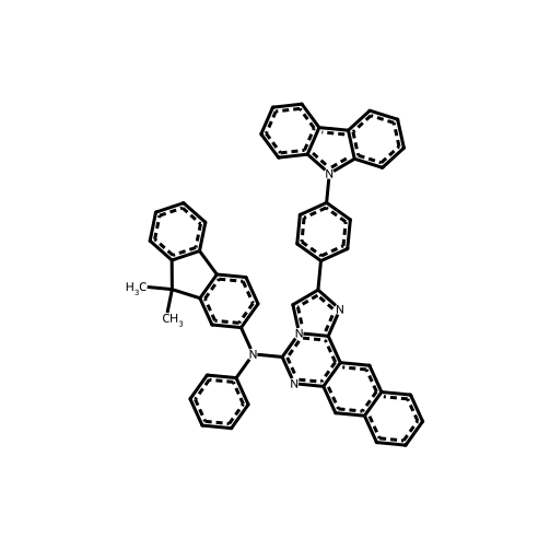 CC1(C)c2ccccc2-c2ccc(N(c3ccccc3)c3nc4cc5ccccc5cc4c4nc(-c5ccc(-n6c7ccccc7c7ccccc76)cc5)cn34)cc21